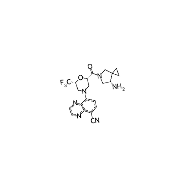 N#Cc1ccc(N2C[C@@H](C(=O)N3C[C@@H](N)C4(CC4)C3)O[C@@H](C(F)(F)F)C2)c2nccnc12